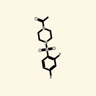 CC(=O)N1CCN(S(=O)(=O)c2ccc(F)cc2F)CC1